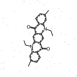 CCn1c2cc(C)ccc2c(=O)c2cc3c(cc21)c(=O)c1ccc(C)cc1n3CC